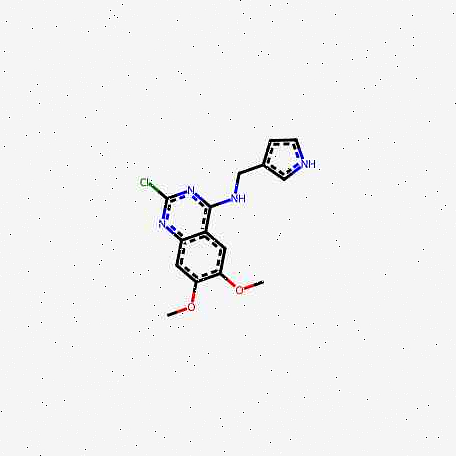 COc1cc2nc(Cl)nc(NCc3cc[nH]c3)c2cc1OC